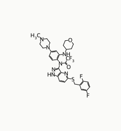 CN1CCN(c2ccc(N(C(=O)C(F)(F)F)c3n[nH]c4ccc(SCc5cc(F)ccc5F)nc34)c(NC3CCOCC3)c2)CC1